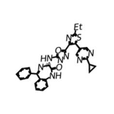 CCc1nc(-c2nnc(N[C@H]3N=C(c4ccccc4)c4ccccc4NC3=O)o2)c(-c2cnc(C3CC3)nc2)s1